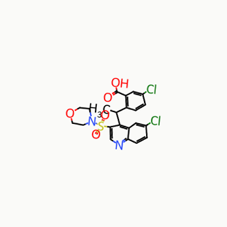 CC(c1ccc(Cl)cc1C(=O)O)c1c(S(=O)(=O)N2CCOCC2)cnc2ccc(Cl)cc12